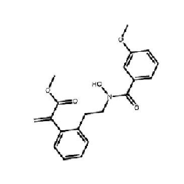 C=C(C(=O)OC)c1ccccc1CCN(O)C(=O)c1cccc(OC)c1